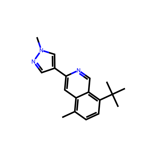 Cc1ccc(C(C)(C)C)c2cnc(-c3cnn(C)c3)cc12